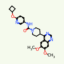 COc1cc2ncnc(C3CCN(C(=O)Nc4ccc(OC5CCC5)nc4)CC3)c2cc1OC